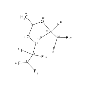 CC(OCC(F)(F)C(F)F)OC(F)(F)C(F)F